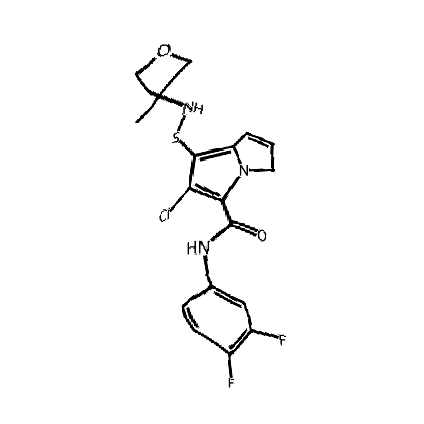 CC1(NSc2c(Cl)c(C(=O)Nc3ccc(F)c(F)c3)n3c2C=CC3)COC1